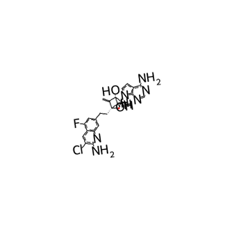 C=C1[C@]2(CCc3cc(F)c4cc(Cl)c(N)nc4c3)C[C@@H](n3ccc4c(N)ncnc43)[C@@]1(O)[C@@H]2O